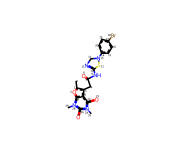 Cc1oc2c(c1CC(=O)NC1=NCN(c3ccc(Br)cc3)S1)c(=O)n(C)c(=O)n2C